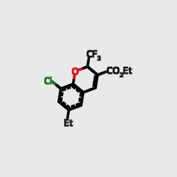 CCOC(=O)C1=Cc2cc(CC)cc(Cl)c2OC1C(F)(F)F